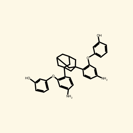 Nc1ccc(C23CC4CC(C2)CC(c2ccc(N)cc2Oc2cccc(O)c2)(C4)C3)c(Oc2cccc(O)c2)c1